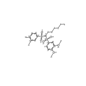 CCCCCCN(S(=O)(=O)c1ccc(C)c(C)c1)S(=O)(=O)c1ccc(OC)c(OC)c1